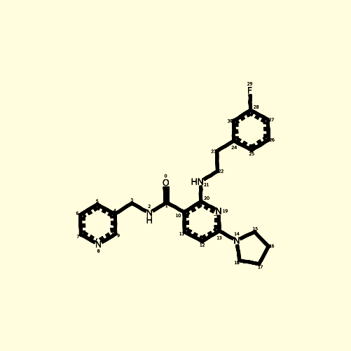 O=C(NCc1cccnc1)c1ccc(N2CCCC2)nc1NCCc1cccc(F)c1